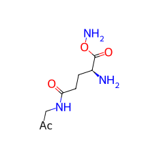 CC(=O)CNC(=O)CC[C@H](N)C(=O)ON